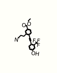 CCOC(=O)c1ccc(C#Cc2ccc(O)cc2C(F)(F)F)c(CCC#N)c1